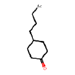 CC(=O)CCCC1CCC(=O)CC1